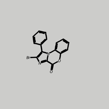 O=c1oc2ccccc2n2c(-c3ccccc3)c(Br)nc12